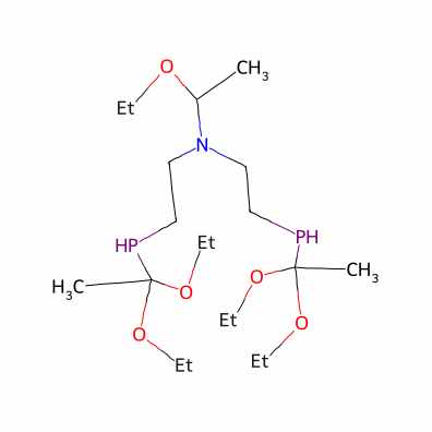 CCOC(C)N(CCPC(C)(OCC)OCC)CCPC(C)(OCC)OCC